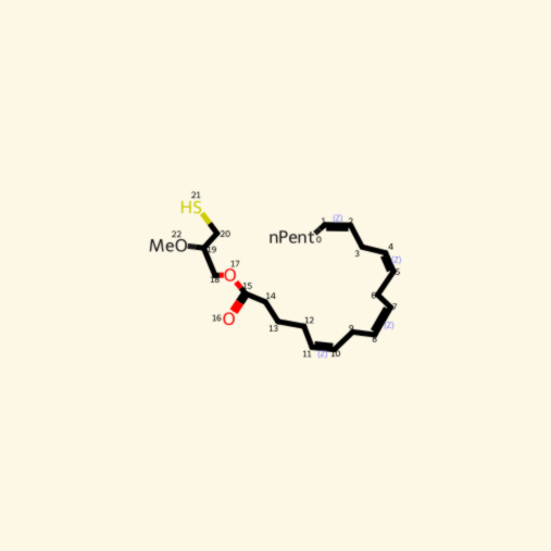 CCCCC/C=C\C/C=C\C/C=C\C/C=C\CCCC(=O)OCC(CS)OC